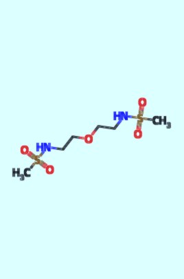 CS(=O)(=O)NCCOCCNS(C)(=O)=O